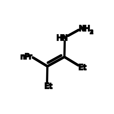 CCCC(CC)=C(CC)NN